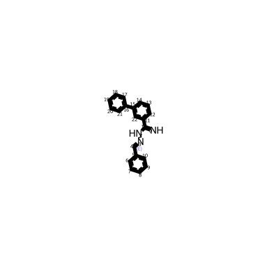 N=C(N/N=C/c1ccccc1)c1cccc(-c2ccccc2)c1